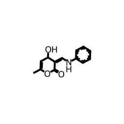 CC1=CC(O)C(=CNc2ccccc2)C(=O)O1